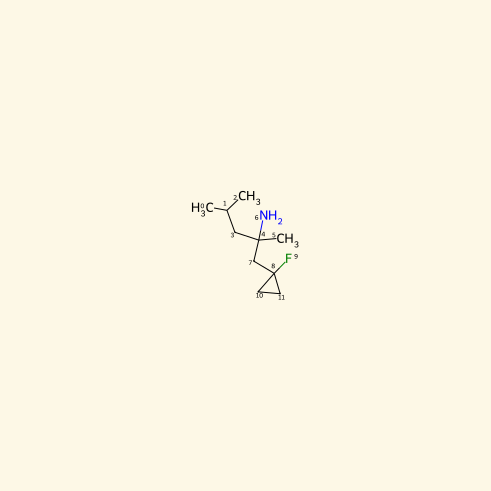 CC(C)CC(C)(N)CC1(F)CC1